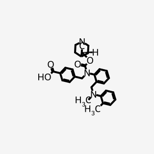 Cc1ccccc1N(C)Cc1ccccc1N(Cc1ccc(C(=O)O)cc1)C(=O)O[C@H]1CN2CCC1CC2